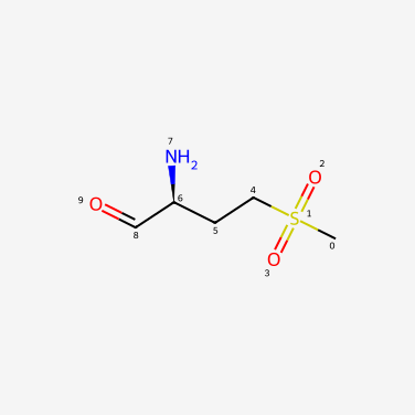 CS(=O)(=O)CC[C@H](N)C=O